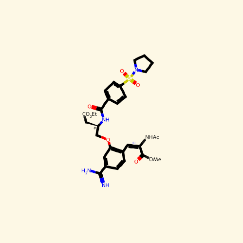 CCOC(=O)C[C@H](COc1cc(C(=N)N)ccc1/C=C(/NC(C)=O)C(=O)OC)NC(=O)c1ccc(S(=O)(=O)N2CCCC2)cc1